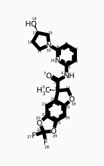 C[C@]1(C(=O)Nc2cccc(N3CC[C@H](O)C3)n2)COc2cc3c(cc21)OC(F)(F)O3